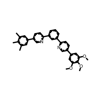 COc1cc(-c2ccc(-c3cccc(-c4ccc(-c5cc(C)c(C)c(C)c5)cn4)c3)nc2)cc(OC)c1OC